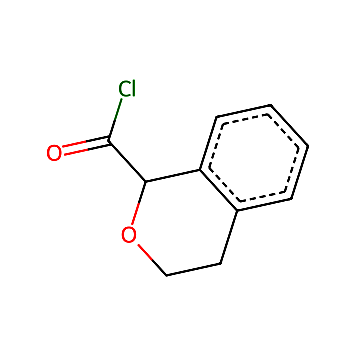 O=C(Cl)C1OCCc2ccccc21